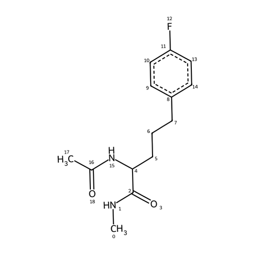 CNC(=O)C(CCCc1ccc(F)cc1)NC(C)=O